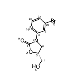 O=C1O[C@@H](CO)CN1c1cc(Br)ccn1